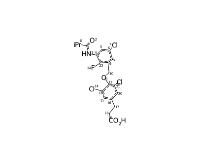 CC(C)C(=O)Nc1cc(Cl)cc(COc2c(Cl)cc(CCC(=O)O)cc2Cl)c1F